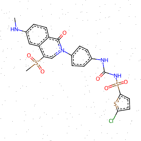 CNc1ccc2c(=O)n(-c3ccc(NC(=O)NS(=O)(=O)c4ccc(Cl)s4)cc3)cc(S(C)(=O)=O)c2c1